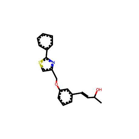 CC(O)C=Cc1cccc(OCc2csc(-c3ccccc3)n2)c1